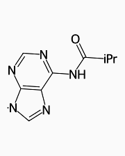 CC(C)C(=O)Nc1ncnc2c1N=C[N]2